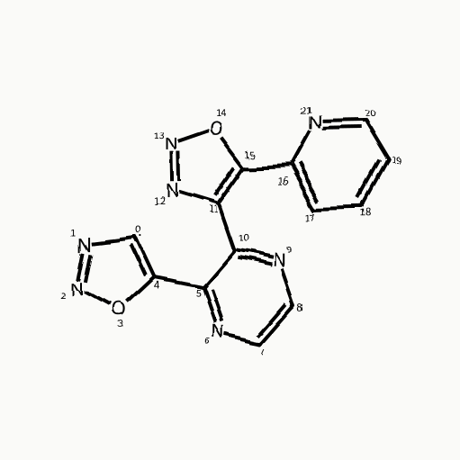 [c]1nnoc1-c1nccnc1-c1nnoc1-c1ccccn1